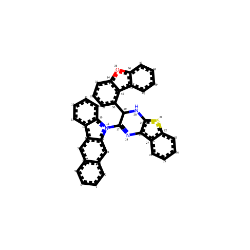 c1ccc2cc3c(cc2c1)c1ccccc1n3C1=Nc2c(sc3ccccc23)NC1c1cccc2oc3ccccc3c12